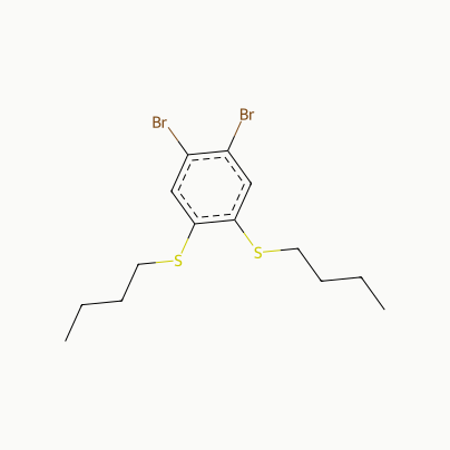 CCCCSc1cc(Br)c(Br)cc1SCCCC